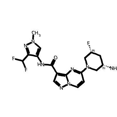 Cn1cc(NC(=O)c2cnn3ccc(N4C[C@@H](N)C[C@@H](F)C4)nc23)c(C(F)F)n1